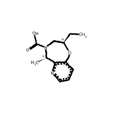 CC[C@@H]1CN(C(=O)O)[C@@H](C)c2ncccc2O1